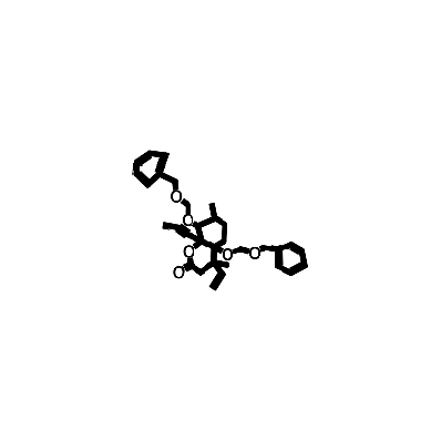 C=CC1(C)CC(=O)OC2(C#CC)C(OCOCc3ccccc3)C(C)CCC12OCOCc1ccccc1